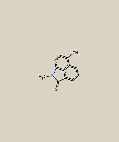 Cc1ccc2c3c(cccc13)C(=S)N2C